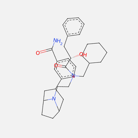 NC(=O)c1cccc(C2CC3CCC(C2)N3CCN(CC2CCCCC2)C(=O)[C@@H](O)Cc2ccccc2)c1